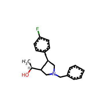 C[C@H](O)C1CN(Cc2ccccc2)CC1c1ccc(F)cc1